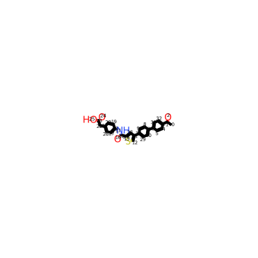 CC(=O)c1ccc(-c2ccc(-c3csc(C(=O)Nc4ccc(CC(=O)O)cc4)c3)cc2)cc1